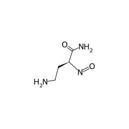 NCC[C@H](N=O)C(N)=O